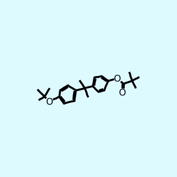 CC(C)(C)Oc1ccc(C(C)(C)c2ccc(OC(=O)C(C)(C)C)cc2)cc1